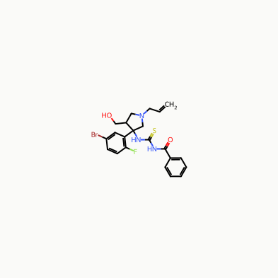 C=CCN1CC(CO)C(NC(=S)NC(=O)c2ccccc2)(c2cc(Br)ccc2F)C1